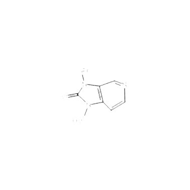 CC(C)n1c(=O)n(C)c2ccncc21